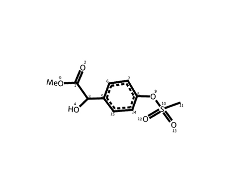 COC(=O)C(O)c1ccc(OS(C)(=O)=O)cc1